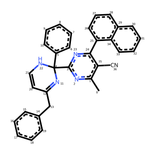 Cc1nc(C2(c3ccccc3)N=C(Cc3ccccc3)C=CN2)nc(-c2cccc3ccccc23)c1C#N